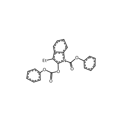 CCc1c(OC(=O)Oc2ccccc2)n(C(=O)Oc2ccccc2)c2ccccc12